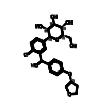 OC[C@@H]1O[C@@H](c2ccc(Cl)c(C(O)c3ccc(O[C@H]4CCOC4)cc3)c2)[C@H](O)[C@@H](O)[C@@H]1O